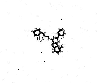 N[C@@H](COc1nc(-c2ccncc2)nc2c1sc1cccc(Cl)c12)Cc1ccccc1